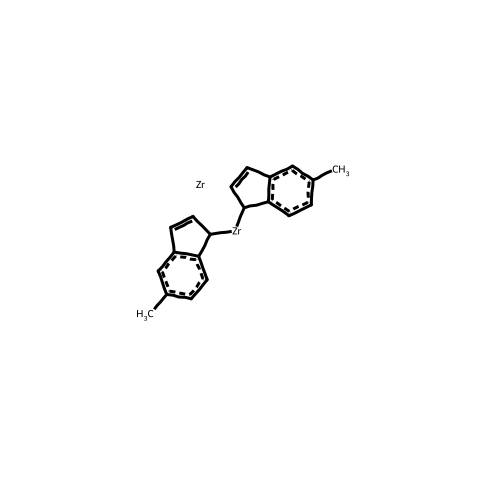 Cc1ccc2c(c1)C=C[CH]2[Zr][CH]1C=Cc2cc(C)ccc21.[Zr]